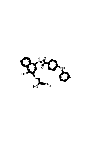 C=C(O)CSc1cc(NS(=O)(=O)c2ccc(Nc3ccccc3)cc2)c2ccccc2c1O